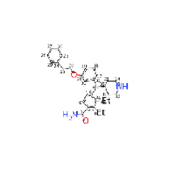 CCc1c(C(N)=O)ccc(C(=C2CCNCC2)c2cccc(OCCc3ccccc3)c2)c1CC